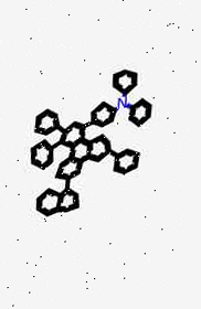 c1ccc(-c2ccc3c(c2)c2cc(-c4cccc5ccccc45)ccc2c2c(-c4ccccc4)c(-c4ccccc4)cc(-c4ccc(N(c5ccccc5)c5ccccc5)cc4)c32)cc1